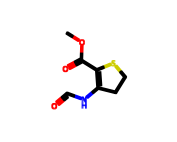 COC(=O)C1=C(NC=O)CCS1